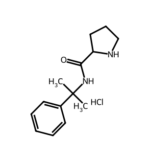 CC(C)(NC(=O)C1CCCN1)c1ccccc1.Cl